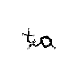 O=S(=O)(Cc1cccc(F)c1)CC(F)(F)F